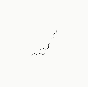 CCCCCCCCC([CH]C(C)CCCC)CC